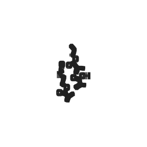 C=C(C)C(=O)O.C=C(C)C(=O)OCCN=C=O.C=C(C)C(=O)O[CH]CC